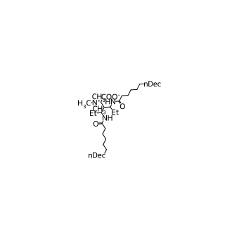 CCCCCCCCCCCCCCCC(=O)NC(CC)C(C(CC)NC(=O)CCCCCCCCCCCCCCC)C(C(=O)[O-])[N+](C)(C)C